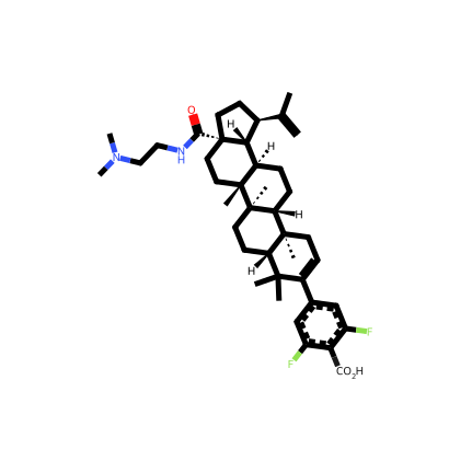 C=C(C)[C@@H]1CC[C@]2(C(=O)NCCN(C)C)CC[C@]3(C)[C@H](CC[C@@H]4[C@@]5(C)CC=C(c6cc(F)c(C(=O)O)c(F)c6)C(C)(C)[C@@H]5CC[C@]43C)[C@@H]12